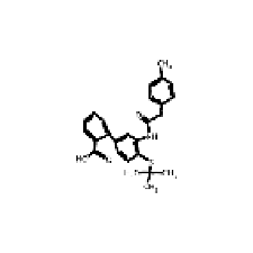 Cc1ccc(CC(=O)Nc2cc(-c3ccccc3C(=O)O)ccc2SC(C)(C)C)cc1